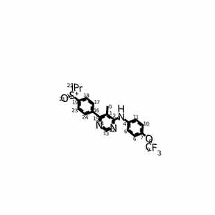 Cc1c(Nc2ccc(OC(F)(F)F)cc2)ncnc1-c1ccc([S+]([O-])C(C)C)cc1